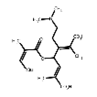 CCCCC=C(C)C(=O)OC(C=C(C)C(=O)O)C(CCN(C)C)=C(C)C(=O)O